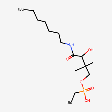 CC(C)(C)CCCCCCNC(=O)C(O)C(C)(C)COP(=O)(O)CC(C)(C)C